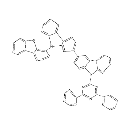 c1ccc(-c2nc(-c3ccccc3)nc(-n3c4ccccc4c4cc(-c5ccc6c7ccccc7n(-c7cccc8c7sc7ccccc78)c6c5)ccc43)n2)cc1